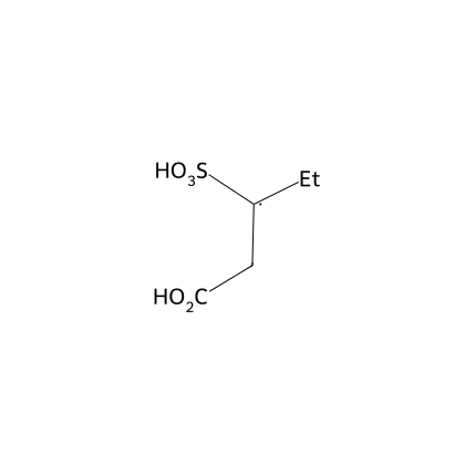 CC[C](CC(=O)O)S(=O)(=O)O